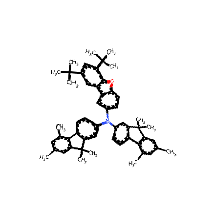 Cc1cc(C)c2c(c1)C(C)(C)c1cc(N(c3ccc4c(c3)C(C)(C)c3cc(C)cc(C)c3-4)c3ccc4oc5c(C(C)(C)C)cc(C(C)(C)C)cc5c4c3)ccc1-2